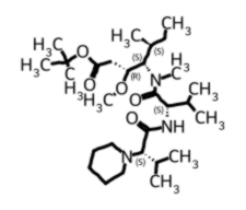 CC[C@H](C)[C@@H]([C@@H](CC(=O)OC(C)(C)C)OC)N(C)C(=O)[C@@H](NC(=O)[C@H](C(C)C)N1CCCCC1)C(C)C